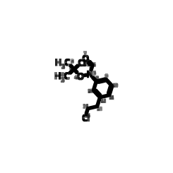 CC(C)(C)ON(C=O)c1cccc(CCCl)c1